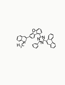 C[C@@H]1CC(c2ccc3c(c2)oc2cccc(-c4nc(-c5ccccc5)nc(-c5cc6ccccc6c6ccccc56)n4)c23)=Cc2ccccc21